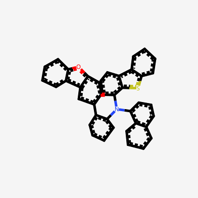 c1ccc(N(c2cccc3ccccc23)c2cccc3c2sc2ccccc23)c(-c2ccc3oc4ccccc4c3c2)c1